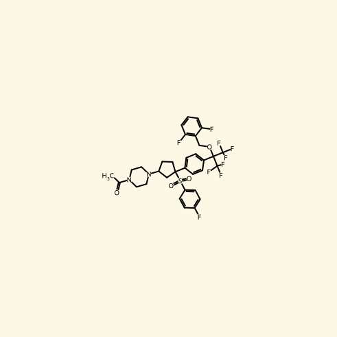 CC(=O)N1CCN(C2CCC(c3ccc(C(OCc4c(F)cccc4F)(C(F)(F)F)C(F)(F)F)cc3)(S(=O)(=O)c3ccc(F)cc3)C2)CC1